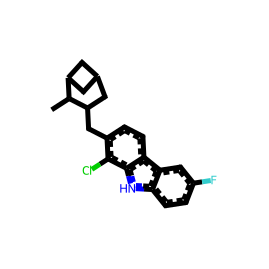 CC1C(Cc2ccc3c([nH]c4ccc(F)cc43)c2Cl)CC2CC1C2